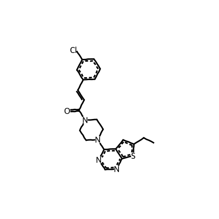 CCc1cc2c(N3CCN(C(=O)C=Cc4cccc(Cl)c4)CC3)ncnc2s1